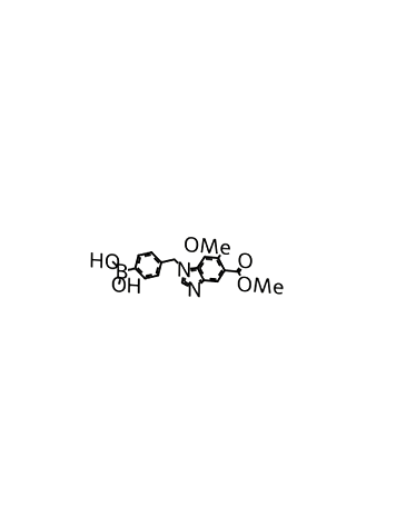 COC(=O)c1cc2ncn(Cc3ccc(B(O)O)cc3)c2cc1OC